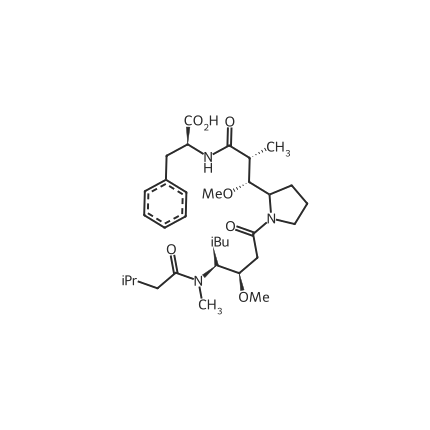 CC[C@H](C)[C@@H]([C@@H](CC(=O)N1CCCC1[C@H](OC)[C@@H](C)C(=O)N[C@@H](Cc1ccccc1)C(=O)O)OC)N(C)C(=O)CC(C)C